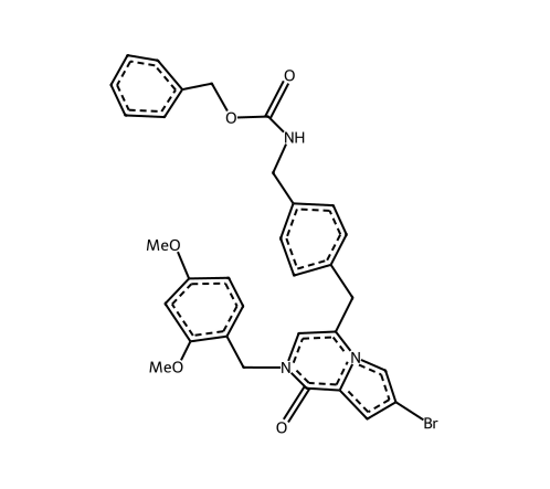 COc1ccc(Cn2cc(Cc3ccc(CNC(=O)OCc4ccccc4)cc3)n3cc(Br)cc3c2=O)c(OC)c1